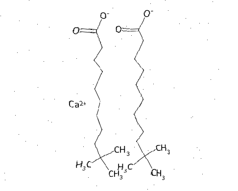 CC(C)(C)CCCCCCCCC(=O)[O-].CC(C)(C)CCCCCCCCC(=O)[O-].[Ca+2]